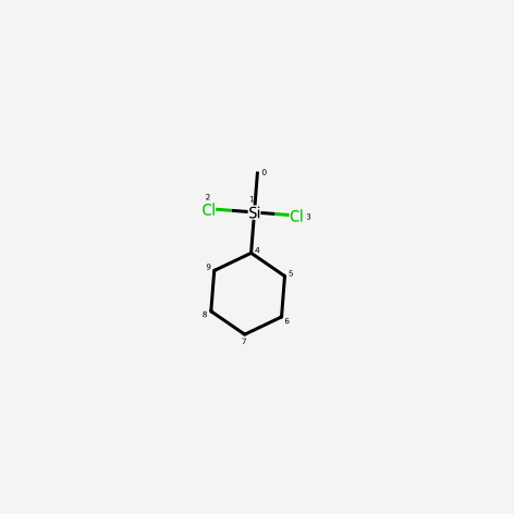 C[Si](Cl)(Cl)C1CCCCC1